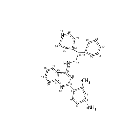 Cc1cc(N)ccc1-c1nc(NCC(c2ccccc2)c2ccncc2)c2ccccc2n1